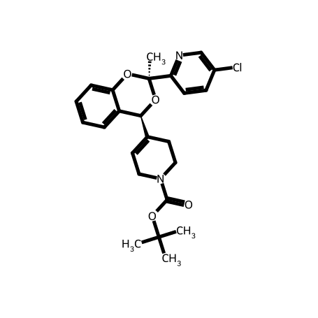 CC(C)(C)OC(=O)N1CC=C([C@@H]2O[C@](C)(c3ccc(Cl)cn3)Oc3ccccc32)CC1